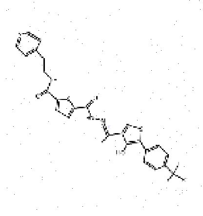 C/C(=N\NC(=O)c1ccc(C(=O)NCCc2ccncc2)s1)c1csc(-c2ccc(C(F)(F)F)cc2)c1O